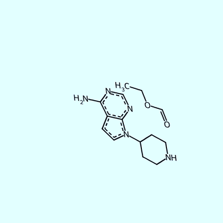 CCOC=O.Nc1ncnc2c1ccn2C1CCNCC1